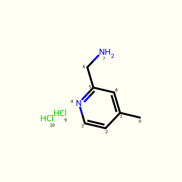 Cc1ccnc(CN)c1.Cl.Cl